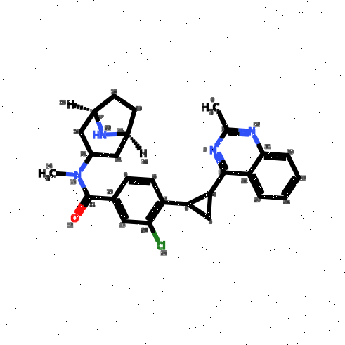 Cc1nc(C2CC2c2ccc(C(=O)N(C)C3C[C@H]4CC[C@@H](C3)N4)cc2Cl)c2ccccc2n1